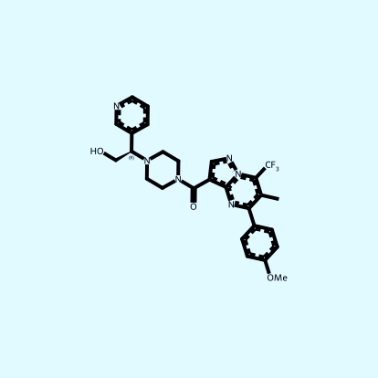 COc1ccc(-c2nc3c(C(=O)N4CCN([C@@H](CO)c5cccnc5)CC4)cnn3c(C(F)(F)F)c2C)cc1